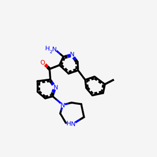 Cc1cccc(-c2cnc(N)c(C(=O)c3cccc(N4CCCNCC4)n3)c2)c1